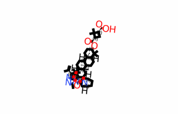 C=C(C)[C@@H]1CC[C@]2(C(=O)N3[C@@H]4CC[C@H]3C[C@@H](n3c(C)nnc3C(C)C)C4)CC[C@]3(C)[C@H](CC[C@@H]4[C@@]5(C)CC[C@H](OC(=O)[C@H]6C[C@@H](C(=O)O)C6(C)C)C(C)(C)[C@@H]5CC[C@]43C)[C@@H]12